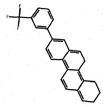 FC(F)(F)c1cccc(-c2ccc3c(c2)=CCc2c4c(ccc2=3)=CCCC4)c1